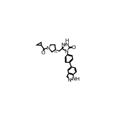 O=C(C1CC1)N1CC[C@@H](Cc2n[nH]c(=O)n2-c2ccc(-c3ccc4[nH]ncc4c3)cc2)C1